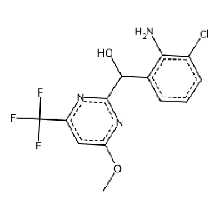 COc1cc(C(F)(F)F)nc(C(O)c2cccc(Cl)c2N)n1